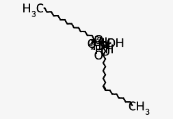 [2H]C([2H])(O)[C@]([2H])(OC(=O)CCCCCCC/C=C\CCCCCCCC)C([2H])([2H])OC(=O)CCCCCCCCCCCCCCCC